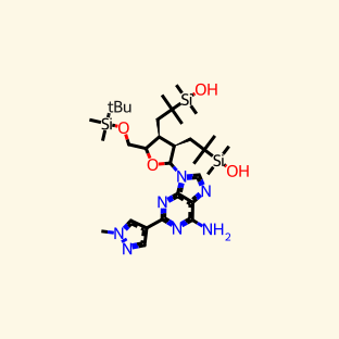 Cn1cc(-c2nc(N)c3ncn(C4OC(CO[Si](C)(C)C(C)(C)C)[C@@H](CC(C)(C)[Si](C)(C)O)[C@H]4CC(C)(C)[Si](C)(C)O)c3n2)cn1